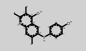 Cc1cc2nc(C)c(C)c([O])c2cc1Sc1ccc(Cl)cc1